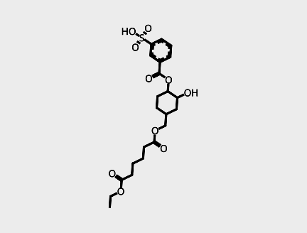 CCOC(=O)CCCCC(=O)OCC1CCC(OC(=O)c2cccc(S(=O)(=O)O)c2)C(O)C1